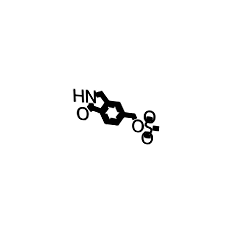 CS(=O)(=O)OCc1ccc2c(c1)CNC2=O